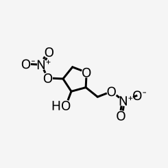 O=[N+]([O-])OCC1OCC(O[N+](=O)[O-])C1O